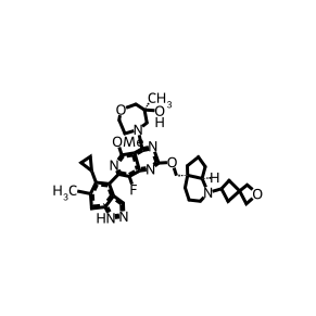 COc1nc(-c2c(C3CC3)c(C)cc3[nH]ncc23)c(F)c2nc(OC[C@]34CCC[C@H]3N(C3CC5(COC5)C3)CCC4)nc(N3CCOC[C@@](C)(O)C3)c12